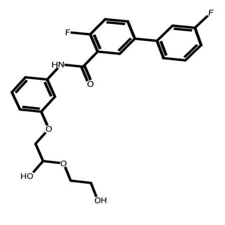 O=C(Nc1cccc(OCC(O)OCCO)c1)c1cc(-c2cccc(F)c2)ccc1F